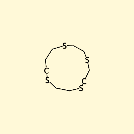 C1CSCCSCCSCCSC1